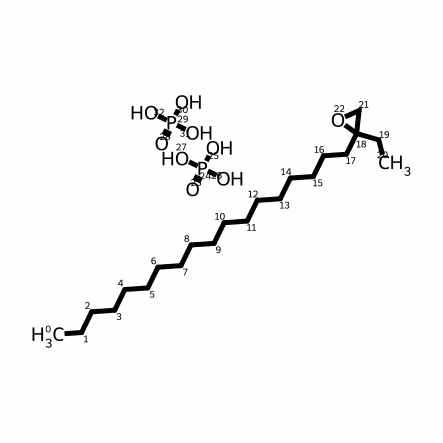 CCCCCCCCCCCCCCCCCCC1(CC)CO1.O=P(O)(O)O.O=P(O)(O)O